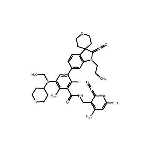 CCCN1C(=C=O)C2(CCOCC2)c2ccc(-c3cc(N(CC)C4CCOCC4)c(C)c(C(=O)NCC4=C(C)C=C(C)NC4=C=O)c3F)cc21